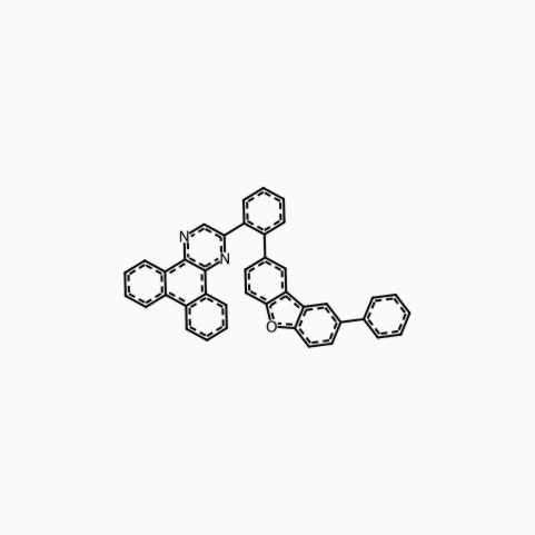 c1ccc(-c2ccc3oc4ccc(-c5ccccc5-c5cnc6c7ccccc7c7ccccc7c6n5)cc4c3c2)cc1